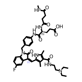 CCN(CC)CCNC(=O)c1c(C)[nH]c(/C=C2\C(=O)N(Cc3ccc(NC(=O)[C@H](CCC(=O)O)NC(=O)CCC(=O)PC)cc3)c3ccc(F)cc32)c1C